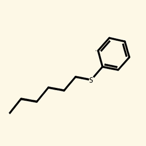 CCCCCCSc1[c]cccc1